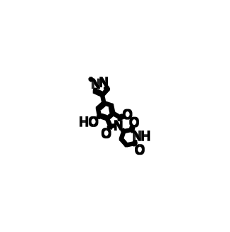 Cn1cc(-c2cc(O)c3c(c2)C(=O)N(C2CCC(=O)NC2=O)C3=O)cn1